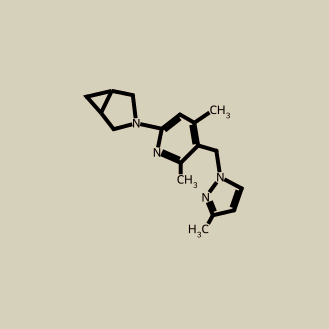 Cc1ccn(Cc2c(C)cc(N3CC4CC4C3)nc2C)n1